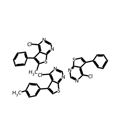 Cc1ccc(-c2csc3ncnc(Cl)c23)cc1.Cc1sc2ncnc(Cl)c2c1-c1ccccc1.Clc1ncnc2scc(-c3ccccc3)c12